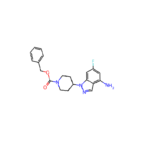 Nc1cc(F)cc2c1cnn2C1CCN(C(=O)OCc2ccccc2)CC1